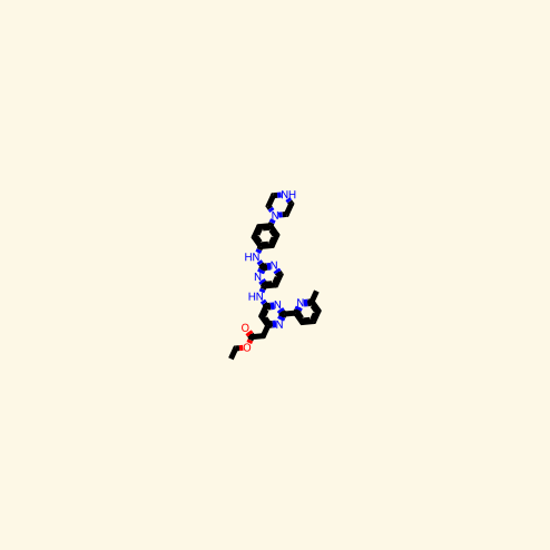 CCOC(=O)Cc1cc(Nc2ccnc(Nc3ccc(N4CCNCC4)cc3)n2)nc(-c2cccc(C)n2)n1